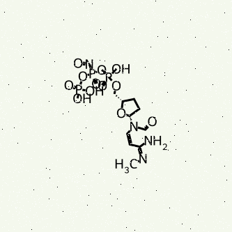 C/N=C(N)\C=C/N(C=O)[C@H]1CC[C@@H](COP(=O)(O)OP(=O)(N=O)OP(=O)(O)O)O1